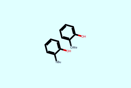 CCCCc1ccccc1O.COc1ccccc1O